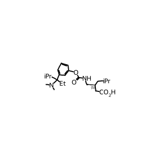 CCC(c1cccc(OC(=O)NC[C@H](CC(=O)O)CC(C)C)c1)(C(C)C)N(C)C